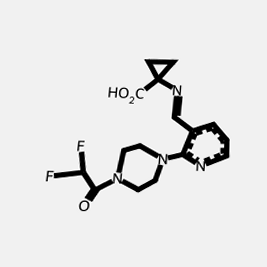 O=C(C(F)F)N1CCN(c2ncccc2C=NC2(C(=O)O)CC2)CC1